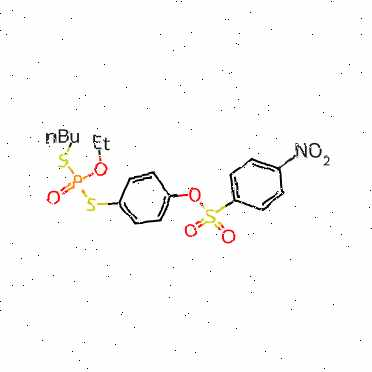 CCCCSP(=O)(OCC)Sc1ccc(OS(=O)(=O)c2ccc([N+](=O)[O-])cc2)cc1